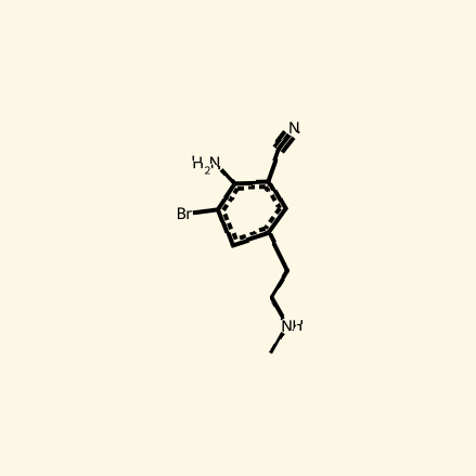 CNCCc1cc(Br)c(N)c(C#N)c1